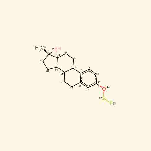 C[C@@]12BC13CCC1c4ccc(OSF)cc4CCC1C3CC2